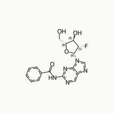 O=C(Nc1ncc2ncn([C@@H]3O[C@H](CO)[C@@H](O)[C@@H]3F)c2n1)c1ccccc1